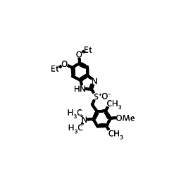 CCOc1cc2nc([S+]([O-])Cc3c(N(C)C)cc(C)c(OC)c3C)[nH]c2cc1OCC